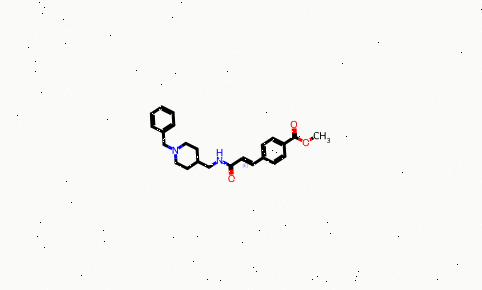 COC(=O)c1ccc(/C=C/C(=O)NCC2CCN(Cc3ccccc3)CC2)cc1